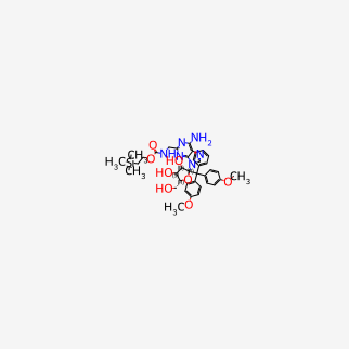 COc1ccc(C(c2ccccc2)(c2ccc(OC)cc2)[C@@]2(n3cnc4c(N)nc(CNC(=O)OCC[Si](C)(C)C)nc43)O[C@H](CO)[C@@H](O)[C@H]2O)cc1